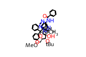 COOC[C@H]1O[C@](n2cnc3c(NC(=O)c4ccccc4)ncnc32)(C(c2ccccc2)(c2ccccc2)c2ccccc2)[C@@](O)([SiH](C)C)[C@@H]1OC(C)(C)C